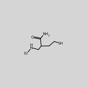 CCNCC(CCS)C(N)=O